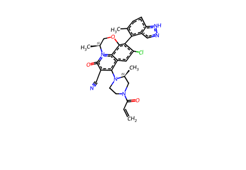 C=CC(=O)N1CCN(c2c(C#N)c(=O)n3c4c(c(-c5c(C)ccc6[nH]ncc56)c(Cl)cc24)OC[C@@H]3C)[C@@H](C)C1